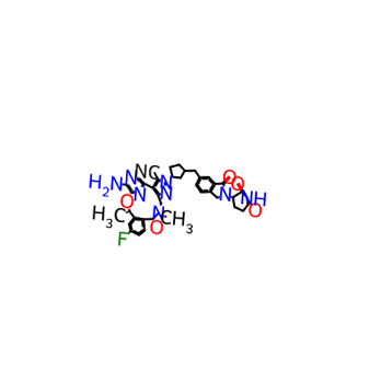 C[C@H]1Oc2nc(cnc2N)-c2c(nn(C3CCC(Cc4ccc5c(c4)C(=O)N(C4CCC(=O)NC4=O)C5)C3)c2C#N)CN(C)C(=O)c2ccc(F)cc21